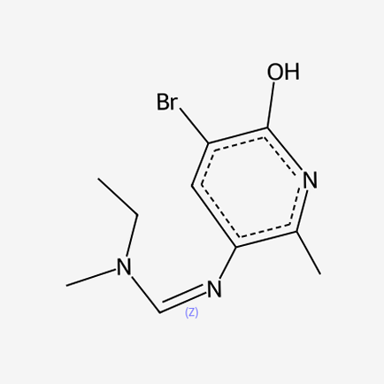 CCN(C)/C=N\c1cc(Br)c(O)nc1C